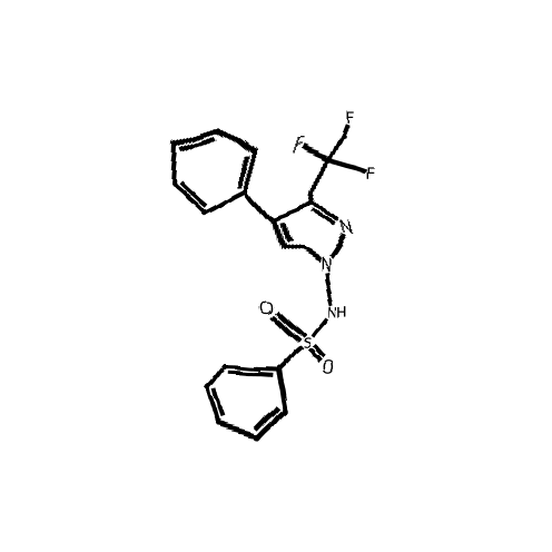 O=S(=O)(Nn1cc(-c2ccccc2)c(C(F)(F)F)n1)c1ccccc1